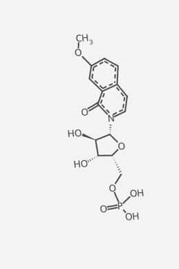 COc1ccc2ccn([C@@H]3O[C@H](COP(=O)(O)O)[C@H](O)[C@H]3O)c(=O)c2c1